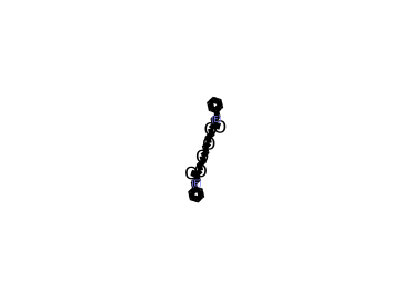 O=C(/C=C/c1ccccc1)OCCOCCOCCOC(=O)/C=C/c1ccccc1